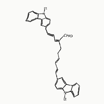 CCn1c2ccccc2c2cc(C=CC=CCCC(C=O)=CC=Cc3ccc4c(c3)c3ccccc3n4CC)ccc21